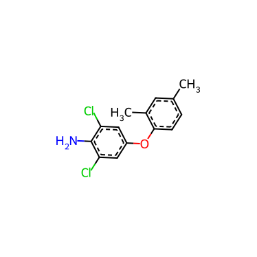 Cc1ccc(Oc2cc(Cl)c(N)c(Cl)c2)c(C)c1